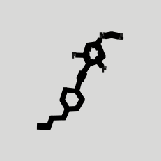 C=CCCC1CCC(C#Cc2c(F)cc(N=C=S)cc2F)CC1